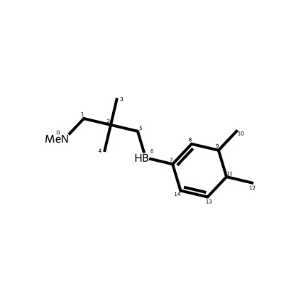 CNCC(C)(C)CBC1=CC(C)C(C)C=C1